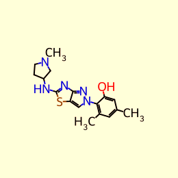 Cc1cc(C)c(-n2cc3sc(NC4CCN(C)C4)nc3n2)c(O)c1